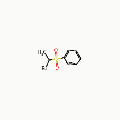 CCC(C)C(C)S(=O)(=O)c1ccccc1